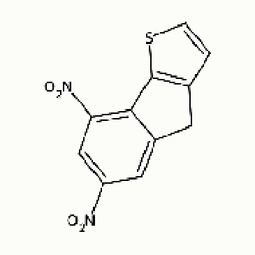 O=[N+]([O-])c1cc2c(c([N+](=O)[O-])c1)-c1sccc1C2